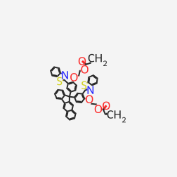 C=CC(=O)OCCOc1ccc(C2(c3ccc(OCCOC(=O)C=C)c(-c4nc5ccccc5s4)c3)c3ccccc3-c3cc4ccccc4cc32)cc1-c1nc2ccccc2s1